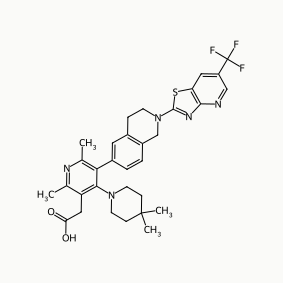 Cc1nc(C)c(-c2ccc3c(c2)CCN(c2nc4ncc(C(F)(F)F)cc4s2)C3)c(N2CCC(C)(C)CC2)c1CC(=O)O